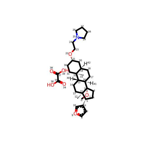 CO[C@]12CC[C@H](c3ccoc3)[C@@]1(C)CC[C@H]1[C@H]2CC[C@@H]2C[C@@H](OCCN3CCCC3)CC[C@@]21C.O=C(O)C(=O)O